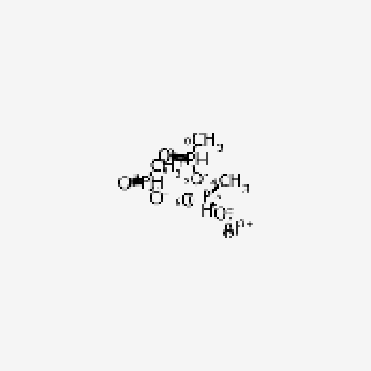 C[PH](=O)[O-].C[PH](=O)[O-].C[PH](=O)[O-].[Al+3]